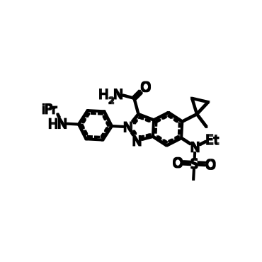 CCN(c1cc2nn(-c3ccc(NC(C)C)cc3)c(C(N)=O)c2cc1C1(C)CC1)S(C)(=O)=O